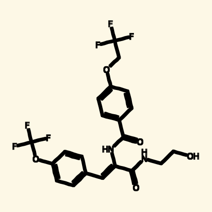 O=C(NCCO)/C(=C/c1ccc(OC(F)(F)F)cc1)NC(=O)c1ccc(OCC(F)(F)F)cc1